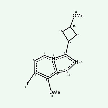 COc1c(I)ccn2c(C3CC(OC)C3)nnc12